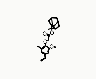 C=Cc1cc(I)c(OCC(=O)OC2(C)C3CC4CC(C3)CC2C4)c(OC)c1